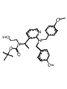 COc1ccc(CN(Cc2ccc(OC)cc2)c2ncccc2C(C)N(CCO)C(=O)OC(C)(C)C)cc1